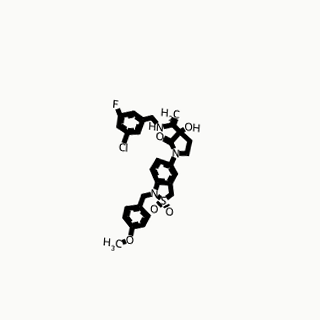 C=C(NCc1cc(F)cc(Cl)c1)C1(O)CCN(c2ccc3c(c2)CS(=O)(=O)N3Cc2ccc(OC)cc2)C1=O